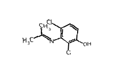 CC(C)=Nc1c(Cl)ccc(O)c1Cl